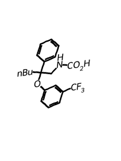 CCCCC(CNC(=O)O)(Oc1cccc(C(F)(F)F)c1)c1ccccc1